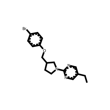 CCc1cnc(N2CCC(COc3ccc(Br)cc3)C2)nc1